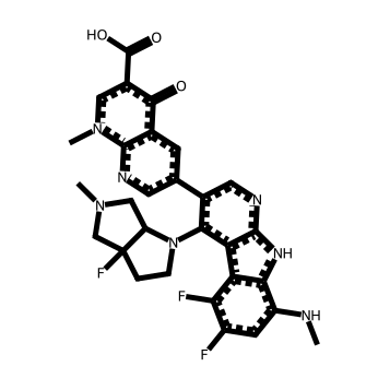 CNc1cc(F)c(F)c2c1[nH]c1ncc(-c3cnc4c(c3)c(=O)c(C(=O)O)cn4C)c(N3CCC4(F)CN(C)CC34)c12